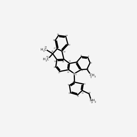 CC1CC=Cc2c1n(-c1cccc(CN)c1)c1ccc3c(c21)-c1ccccc1C3(C)C